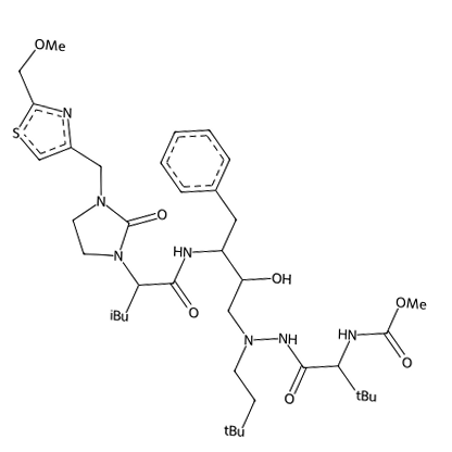 CCC(C)C(C(=O)NC(Cc1ccccc1)C(O)CN(CCC(C)(C)C)NC(=O)C(NC(=O)OC)C(C)(C)C)N1CCN(Cc2csc(COC)n2)C1=O